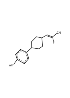 CCCc1ccc(C2CCC(C=C(F)C#N)CC2)cc1